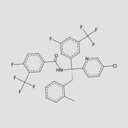 Cc1ccccc1C[C@](NC(=O)c1ccc(F)c(C(F)(F)F)c1)(c1cc(F)cc(C(F)(F)F)c1)c1ccc(Cl)cn1